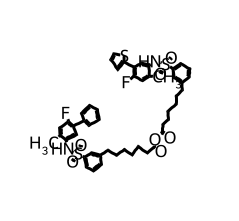 Cc1cc(F)c(-c2ccccc2)cc1NS(=O)(=O)c1cccc(CCCCCCC(=O)OC(=O)CCCCCCc2cccc(S(=O)(=O)Nc3cc(-c4cccs4)c(F)cc3C)c2)c1